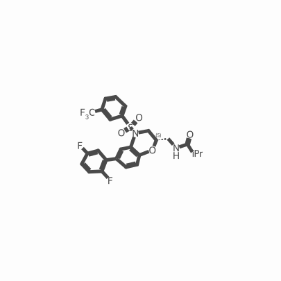 CC(C)C(=O)NC[C@H]1CN(S(=O)(=O)c2cccc(C(F)(F)F)c2)c2cc(-c3cc(F)ccc3F)ccc2O1